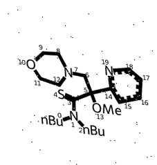 CCCCN(CCCC)C(=S)C(CN1CCOCC1)(OC)c1ccccn1